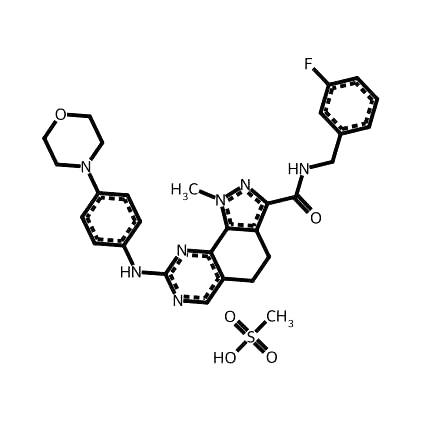 CS(=O)(=O)O.Cn1nc(C(=O)NCc2cccc(F)c2)c2c1-c1nc(Nc3ccc(N4CCOCC4)cc3)ncc1CC2